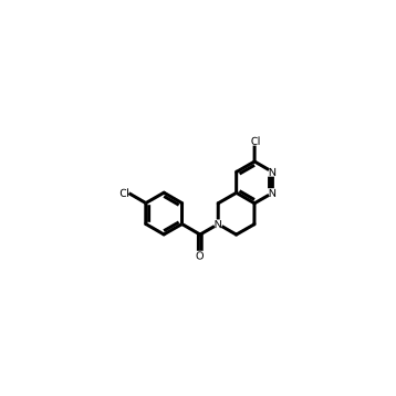 O=C(c1ccc(Cl)cc1)N1CCc2nnc(Cl)cc2C1